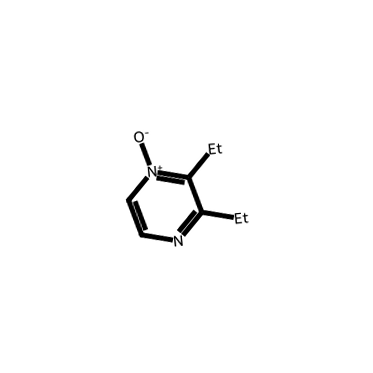 CCc1ncc[n+]([O-])c1CC